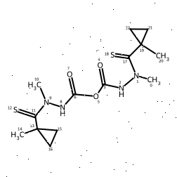 CN(NC(=O)OC(=O)NN(C)C(=S)C1(C)CC1)C(=S)C1(C)CC1